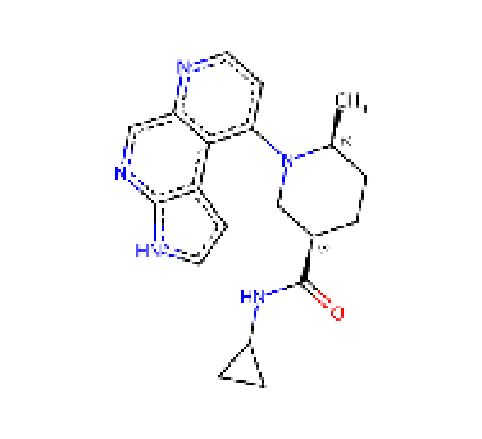 C[C@H]1CC[C@@H](C(=O)NC2CC2)CN1c1ccnc2cnc3[nH]ccc3c12